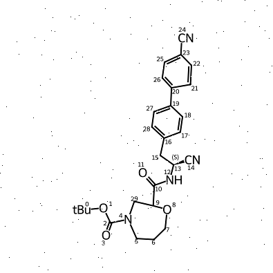 CC(C)(C)OC(=O)N1CCCOC(C(=O)N[C@H](C#N)Cc2ccc(-c3ccc(C#N)cc3)cc2)C1